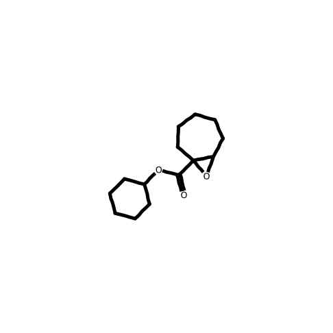 O=C(OC1CCCCC1)C12CCCCCC1O2